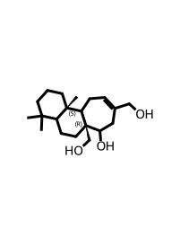 CC1(C)CCC[C@@]2(C)C1CC[C@@]1(CO)C(O)CC(CO)=CCC21